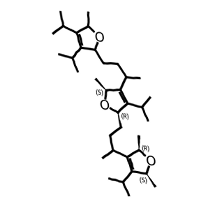 CC(C)C1=C(C(C)C)C(CCC(C)C2=C(C(C)C)[C@@H](CCC(C)C3=C(C(C)C)[C@H](C)O[C@@H]3C)O[C@H]2C)OC1C